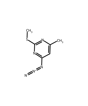 CSc1nc(C)cc(N=[N+]=[N-])n1